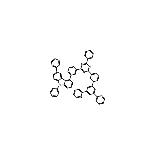 C1=CC(c2cc(-c3ccccn3)cc(-c3ccccn3)c2)CC(c2nc(-c3ccccc3)nc(-c3cccc(-c4cccc5c4c4cc(-c6ccccc6)ccc4n5-c4ccccc4)c3)n2)=C1